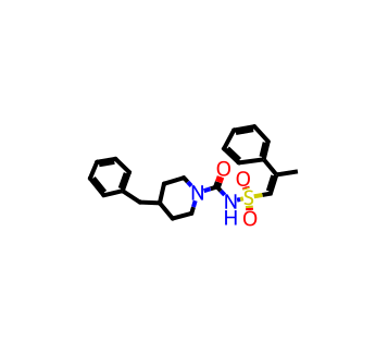 CC(=CS(=O)(=O)NC(=O)N1CCC(Cc2ccccc2)CC1)c1ccccc1